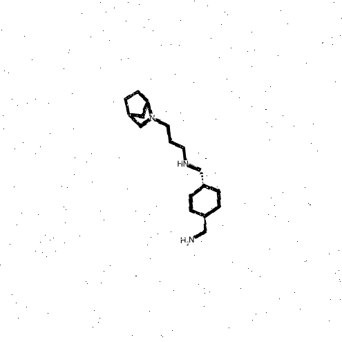 NC[C@H]1CC[C@H](CNCCCN2CC3CCC2C3)CC1